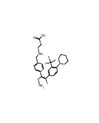 C/C(=C(\ON)c1ccc(CNCCC(=O)O)cc1)c1ccc(C2CCCCC2)c(C(F)(F)F)c1